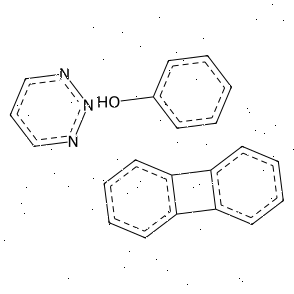 Oc1ccccc1.c1ccc2c(c1)-c1ccccc1-2.c1cnnnc1